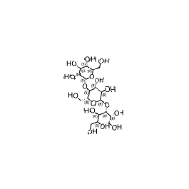 OC[C@@H](O)[C@@H](O[C@H]1O[C@H](CO)[C@@H](O[C@H]2O[C@H](CO)[C@@H](O)[C@H](O)[C@H]2O)[C@H](O)[C@H]1O)[C@H](O)[C@@H](O)CO